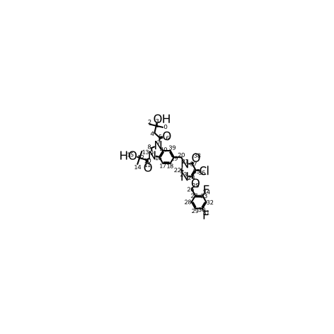 CC(C)(O)CC(=O)N1CN(C(=O)C(C)(C)O)c2ccc(Cn3cnc(OCc4ccc(F)cc4F)c(Cl)c3=O)cc21